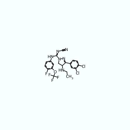 CCNC1CN(/C(=N\C#N)Nc2ccc(F)c(OC(F)(F)F)c2)N=C1c1ccc(Cl)c(Cl)c1